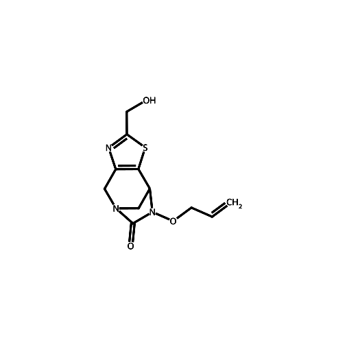 C=CCON1C(=O)N2Cc3nc(CO)sc3C1C2